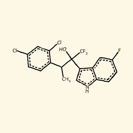 CC(c1ccc(Cl)cc1Cl)C(O)(c1c[nH]c2ccc(F)cc12)C(F)(F)F